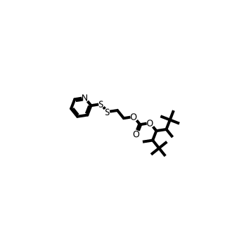 CC(C(OC(=O)OCCSSc1ccccn1)C(C)C(C)(C)C)C(C)(C)C